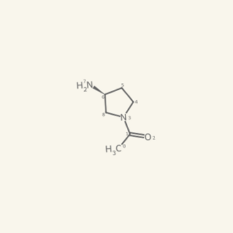 CC(=O)N1CC[C@H](N)C1